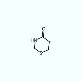 O=C1[C]CSCN1